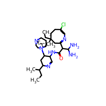 CCC(C)C1CC(N2CCN3CCC2CC3)C(NC(=O)C(/C2=N/C=C(/Cl)CCC(C)(CC)C2)C(N)N)C=N1